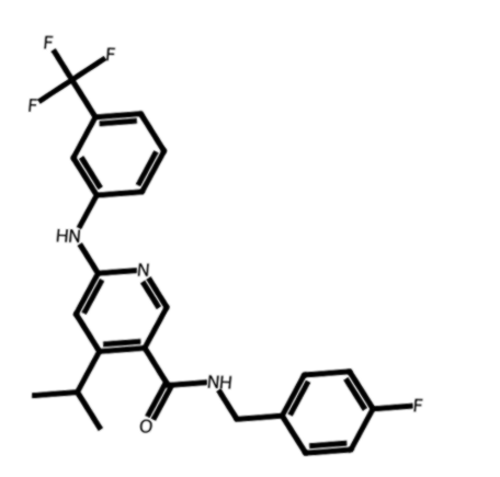 CC(C)c1cc(Nc2cccc(C(F)(F)F)c2)ncc1C(=O)NCc1ccc(F)cc1